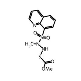 COC(=O)SNN(C)S(=O)(=O)c1cccc2cccnc12